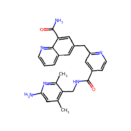 Cc1cc(N)nc(C)c1CNC(=O)c1ccnc(Cc2cc(C(N)=O)c3ncccc3c2)c1